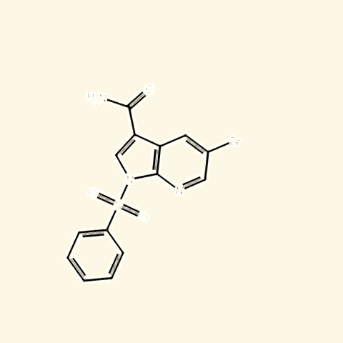 NC(=O)c1cn(S(=O)(=O)c2ccccc2)c2ncc(Br)cc12